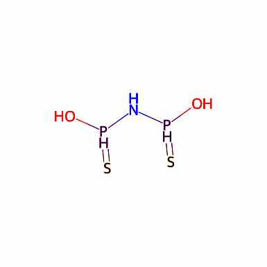 O[PH](=S)N[PH](O)=S